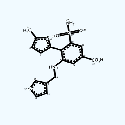 Cc1ccc(-c2c(NCc3ccsc3)cc(C(=O)O)cc2S(N)(=O)=O)s1